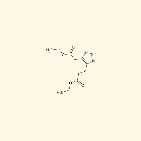 CCOC(=O)CCc1ncsc1CC(=O)OCC